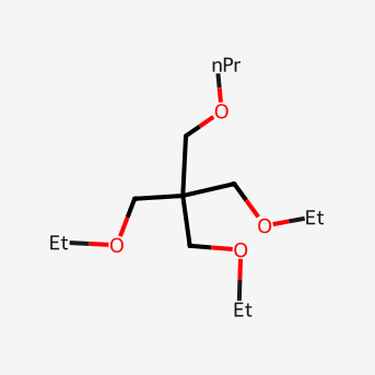 CCCOCC(COCC)(COCC)COCC